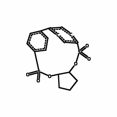 O=S1(=O)OC2CCCC2OS(=O)(=O)c2ccc(cc2)-c2ccc1cc2